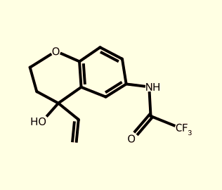 C=CC1(O)CCOc2ccc(NC(=O)C(F)(F)F)cc21